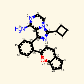 Nc1nccn2c(C3CCC3)nc(-c3ccccc3-c3ccc4cccc-4o3)c12